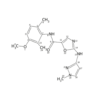 COc1ccc(C)c(NC(=O)c2cnc(Nc3ccn(C)n3)o2)c1C